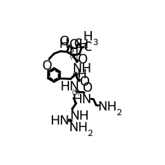 CC(C)C[C@H]1C(=O)N[C@H](C(=O)N[C@@H](CCCNC(=N)N)C(=O)NCCN)Cc2ccc(cc2)OCCCC1C(=O)O